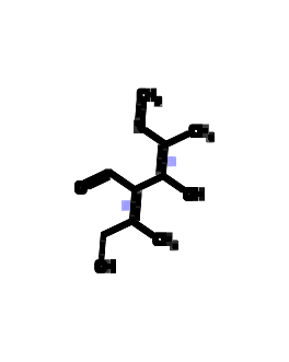 C=N/C(C)=C(O)\C(C=O)=C(/C)CO